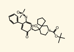 CC(C)(C)OC(=O)N1CCC(O)(Cn2cc(N=S(C)(C)=O)c(-c3ccccc3)cc2=O)C2(CCCC2)C1